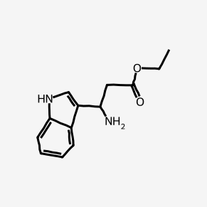 CCOC(=O)CC(N)c1c[nH]c2ccccc12